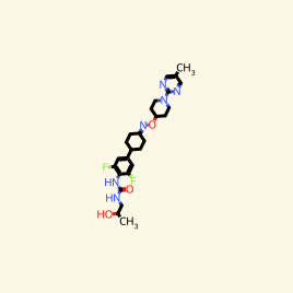 Cc1cnc(N2CCC(ON=C3CCC(c4cc(F)c(NC(=O)NCC(C)O)c(F)c4)CC3)CC2)nc1